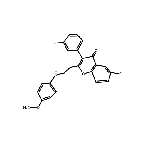 COc1ccc(NCCc2oc3ccc(F)cc3c(=O)c2-c2cccc(F)c2)cc1